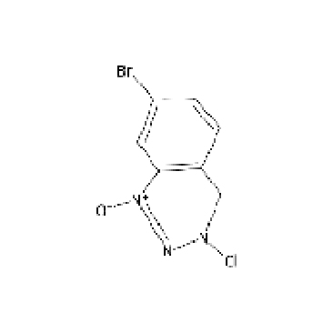 [O-][N+]1=NN(Cl)Cc2ccc(Br)cc21